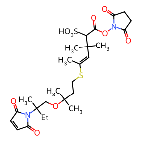 CCC(C)(COC(C)(C)CCS/C(C)=C/C(C)(C)C(C(=O)ON1C(=O)CCC1=O)S(=O)(=O)O)N1C(=O)C=CC1=O